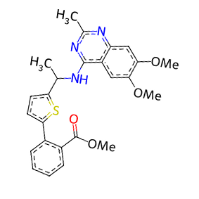 COC(=O)c1ccccc1-c1ccc(C(C)Nc2nc(C)nc3cc(OC)c(OC)cc23)s1